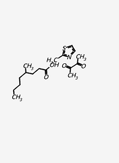 CC(=O)C(C)=O.CCCCC(C)CCC(=O)O.Cc1nccs1